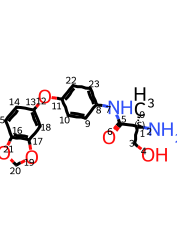 C[C@](N)(CO)C(=O)Nc1ccc(Oc2ccc3c(c2)OCO3)cc1